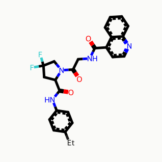 CCc1ccc(NC(=O)C2CC(F)(F)CN2C(=O)CNC(=O)c2ccnc3ccccc23)cc1